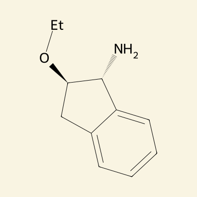 CCO[C@@H]1Cc2ccccc2[C@H]1N